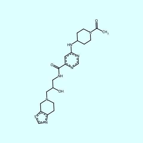 CC(=O)N1CCC(Nc2cc(C(=O)NCC(O)CN3CCc4ncsc4C3)ncn2)CC1